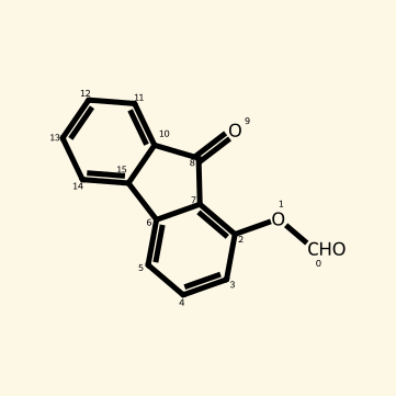 O=COc1cccc2c1C(=O)c1ccccc1-2